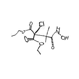 CCOC(=O)C(Cl)(C(=O)OCC)C(C)(C)C(=O)NO